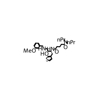 CCCN(CCC)C(=O)CCCC(=O)N[C@@H](Cc1ccsc1)[C@H](O)CNCc1cccc(OC)c1